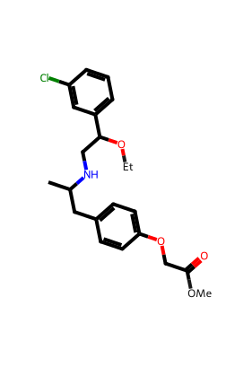 CCOC(CNC(C)Cc1ccc(OCC(=O)OC)cc1)c1cccc(Cl)c1